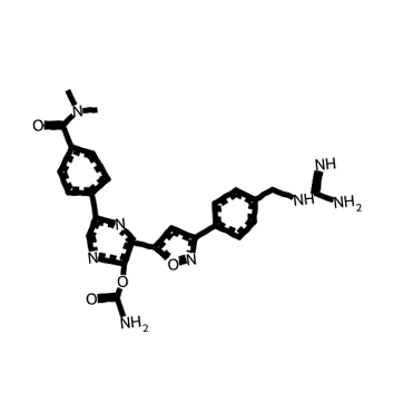 CN(C)C(=O)c1ccc(-c2cnc(OC(N)=O)c(-c3cc(-c4ccc(CNC(=N)N)cc4)no3)n2)cc1